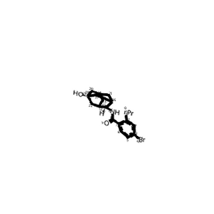 CCCc1cc(Br)ccc1C(=O)N[C@H]1C2CC3CC1C[C@](O)(C3)C2